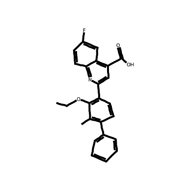 CCOc1c(-c2cc(C(=O)O)c3cc(F)ccc3n2)ccc(-c2ccccc2)c1C